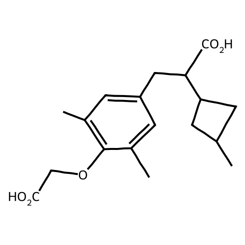 Cc1cc(CC(C(=O)O)C2CC(C)C2)cc(C)c1OCC(=O)O